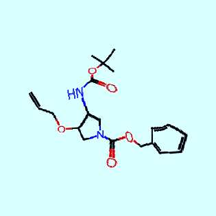 C=CCOC1CN(C(=O)OCc2ccccc2)CC1NC(=O)OC(C)(C)C